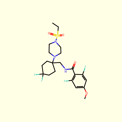 CCS(=O)(=O)N1CCN(C2(CNC(=O)c3c(F)cc(OC)cc3F)CCC(F)(F)CC2)CC1